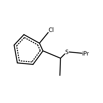 CC(C)SC(C)c1ccccc1Cl